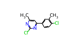 Cc1cc(-c2ccc(Cl)c(C)c2)nc(Cl)n1